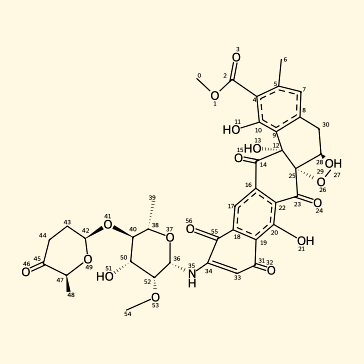 COC(=O)c1c(C)cc2c(c1O)[C@]1(O)C(=O)c3cc4c(c(O)c3C(=O)[C@]1(OC)[C@H](O)C2)C(=O)C=C(N[C@H]1O[C@@H](C)[C@H](O[C@@H]2CCC(=O)[C@H](C)O2)[C@@H](O)[C@H]1OC)C4=O